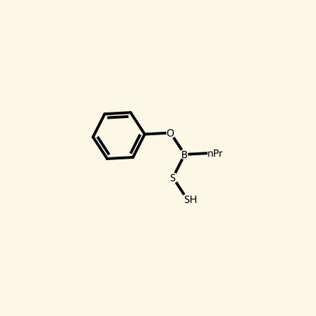 CCCB(Oc1ccccc1)SS